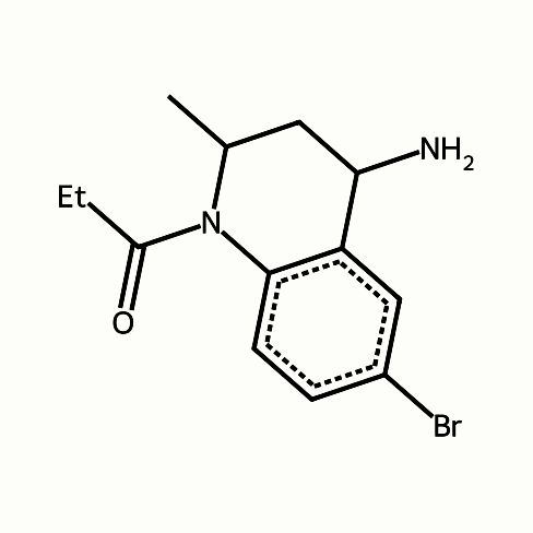 CCC(=O)N1c2ccc(Br)cc2C(N)CC1C